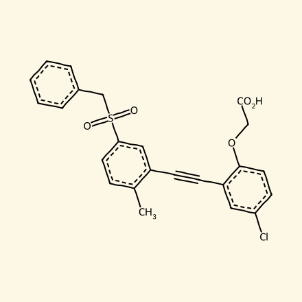 Cc1ccc(S(=O)(=O)Cc2ccccc2)cc1C#Cc1cc(Cl)ccc1OCC(=O)O